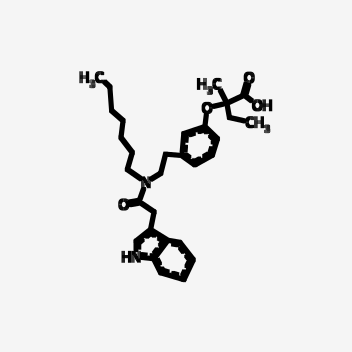 CCCCCCCN(CCc1cccc(OC(C)(CC)C(=O)O)c1)C(=O)Cc1c[nH]c2ccccc12